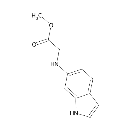 COC(=O)CNc1ccc2cc[nH]c2c1